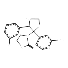 Cc1cccc(C2NCSC2(c2ccnc(C)c2)N2CCOC2=O)c1